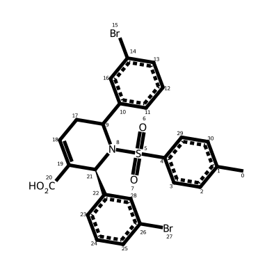 Cc1ccc(S(=O)(=O)N2C(c3cccc(Br)c3)CC=C(C(=O)O)[C@@H]2c2cccc(Br)c2)cc1